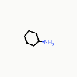 NC1CC[CH]CC1